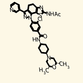 CC(=O)Nc1nc2c(s1)-c1c(c(-c3cccnc3)nn1-c1ccc(C(=O)N[C@H]3CC[C@H](N4C[C@@H](C)O[C@@H](C)C4)CC3)cc1Cl)CC2